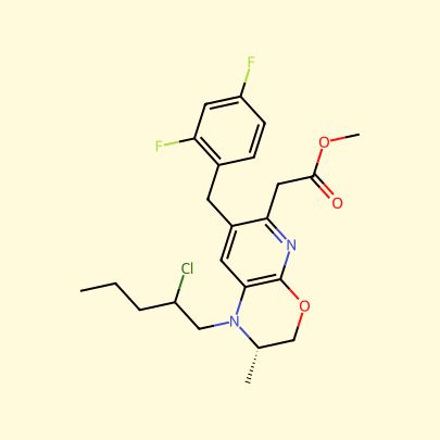 CCCC(Cl)CN1c2cc(Cc3ccc(F)cc3F)c(CC(=O)OC)nc2OC[C@@H]1C